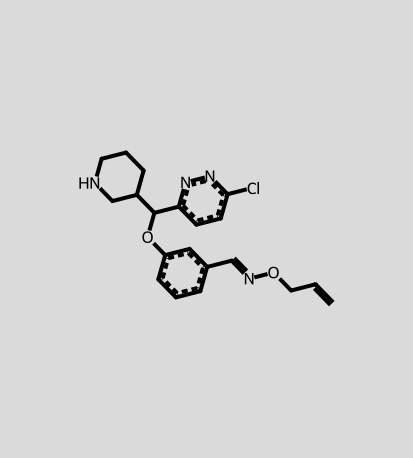 C=CCON=Cc1cccc(OC(c2ccc(Cl)nn2)C2CCCNC2)c1